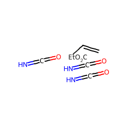 C=CC(=O)OCC.N=C=O.N=C=O.N=C=O